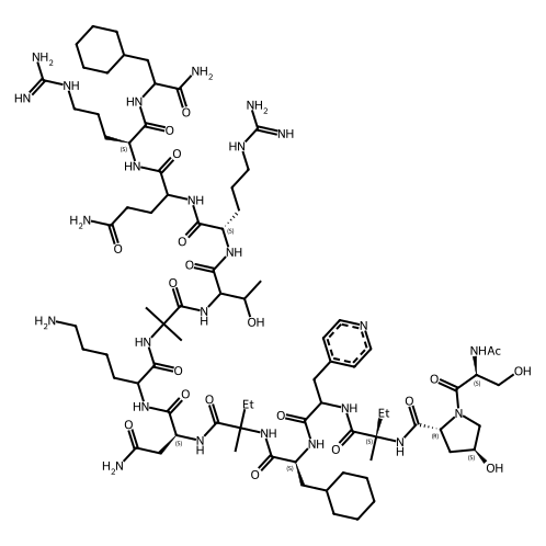 CCC(C)(NC(=O)[C@H](CC1CCCCC1)NC(=O)C(Cc1ccncc1)NC(=O)[C@](C)(CC)NC(=O)[C@H]1C[C@H](O)CN1C(=O)[C@H](CO)NC(C)=O)C(=O)N[C@@H](CC(N)=O)C(=O)NC(CCCCN)C(=O)NC(C)(C)C(=O)NC(C(=O)N[C@@H](CCCNC(=N)N)C(=O)NC(CCC(N)=O)C(=O)N[C@@H](CCCNC(=N)N)C(=O)NC(CC1CCCCC1)C(N)=O)C(C)O